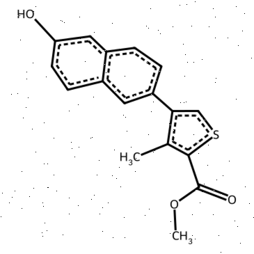 COC(=O)c1scc(-c2ccc3cc(O)ccc3c2)c1C